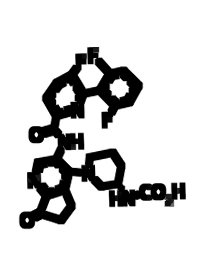 O=C(O)N[C@H]1CCCN(c2c(NC(=O)c3ccc(F)c(-c4c(F)cccc4F)n3)cnc3c2CCC3=O)C1